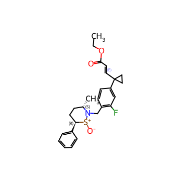 CCOC(=O)/C=C/C1(c2ccc(CN3[C@@H](C)CC[C@H](c4ccccc4)[S+]3[O-])c(F)c2)CC1